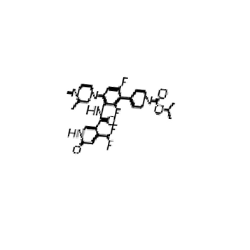 CC(C)OC(=O)N1CC=C(c2c(F)cc(N3CCN(C)C(C)C3)c(NC(=O)c3c[nH]c(=O)cc3C(F)F)c2F)CC1